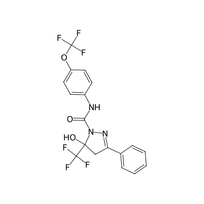 O=C(Nc1ccc(OC(F)(F)F)cc1)N1N=C(c2ccccc2)CC1(O)C(F)(F)F